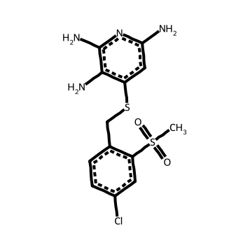 CS(=O)(=O)c1cc(Cl)ccc1CSc1cc(N)nc(N)c1N